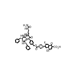 CCn1cc(C(=O)O)c(=O)c2cc(F)c(N3CCN(C(=O)OCc4ccc(NC(=O)[C@H](CCCNC(N)=O)N5C=C([C@H](Cc6ccccc6)NC(=O)OCc6ccccc6)NN5)cc4)CC3)cc21